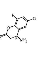 N[C@H]1CC(=O)Oc2c(I)cc(Cl)cc21